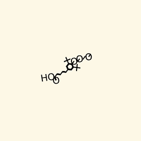 COCCOCOc1c(C(C)(C)C)cc(C=CC=CC(=O)O)cc1C(C)(C)C